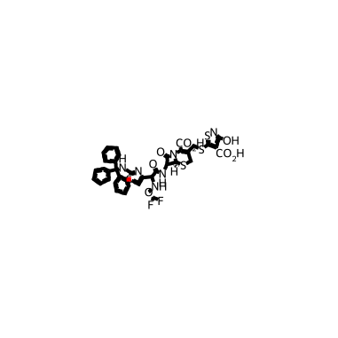 O=C(O)C1=C(CSc2snc(O)c2C(=O)O)CS[C@H]2C(NC(=O)C(NOC(F)F)c3csc(NC(c4ccccc4)(c4ccccc4)c4ccccc4)n3)C(=O)N12